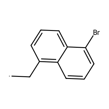 [CH2]Cc1cccc2c(Br)cccc12